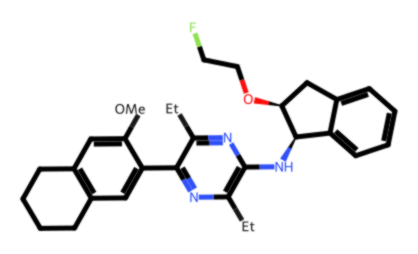 CCc1nc(-c2cc3c(cc2OC)CCCC3)c(CC)nc1N[C@@H]1c2ccccc2C[C@@H]1OCCF